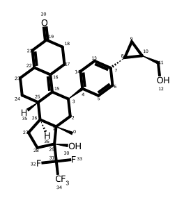 C[C@]12C[C@H](c3ccc([C@@H]4C[C@H]4CO)cc3)C3=C4CCC(=O)C=C4CC[C@H]3[C@@H]1CC[C@@]2(O)C(F)(F)C(F)(F)F